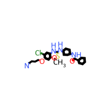 COc1cc(OCCCC#N)c(Cl)cc1NC(=S)Nc1ccc(NC(=O)c2ccccc2)cc1